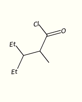 CCC(CC)C(C)C(=O)Cl